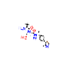 Cc1ncsc1-c1ccc([C@H](C)NC(=O)C2C[C@@H](O)CN2C(=O)[C@@H](N)C(C)(C)C)cc1